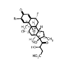 C[C@@H]1C[C@H]2[C@@H]3C[C@@H](F)C4=CC(=O)C(Br)=C[C@]4(C)[C@@]3(Cl)[C@@H](Cl)C[C@]2(C)[C@@]1(O)C(=O)C(O)CC(=O)O